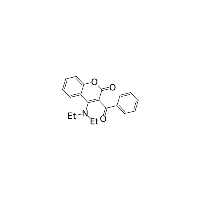 CCN(CC)c1c(C(=O)c2ccccc2)c(=O)oc2ccccc12